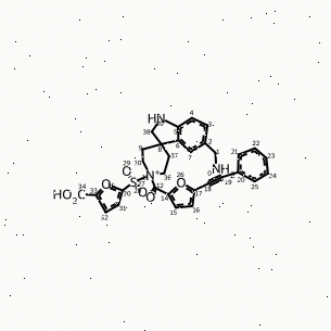 NCc1ccc2c(c1)C1(CC[N+](C(=O)c3ccc(C#Cc4ccccc4)o3)(S(=O)(=O)c3ccc(C(=O)O)o3)CC1)CN2